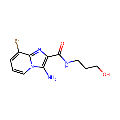 Nc1c(C(=O)NCCCO)nc2c(Br)cccn12